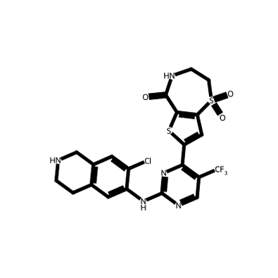 O=C1NCCS(=O)(=O)c2cc(-c3nc(Nc4cc5c(cc4Cl)CNCC5)ncc3C(F)(F)F)sc21